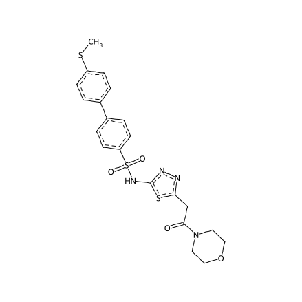 CSc1ccc(-c2ccc(S(=O)(=O)Nc3nnc(CC(=O)N4CCOCC4)s3)cc2)cc1